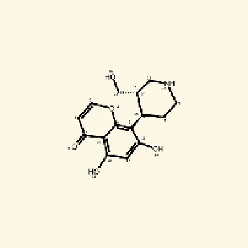 O=c1ccoc2c([C@@H]3CCNC[C@H]3CO)c(O)cc(O)c12